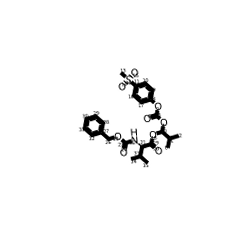 CC(C)C(OC(=O)Oc1ccc(S(C)(=O)=O)cc1)OC(=O)[C@@H](NC(=O)OCc1ccccc1)C(C)C